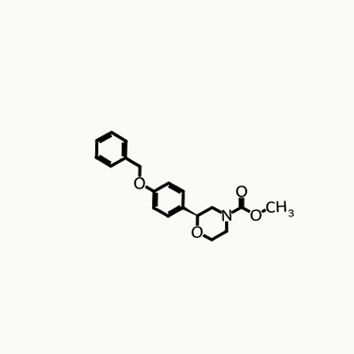 COC(=O)N1CCO[C@@H](c2ccc(OCc3ccccc3)cc2)C1